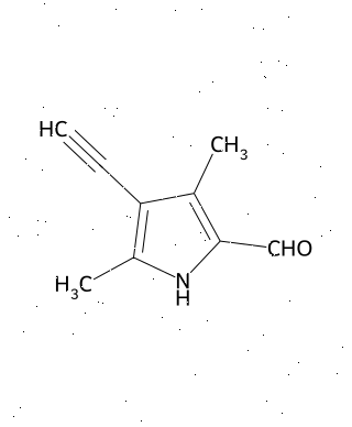 C#Cc1c(C)[nH]c(C=O)c1C